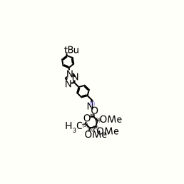 CO[C@@H]1[C@@H](OC)[C@H](C)O[C@@H](O/N=C/c2ccc(-c3ncn(-c4ccc(C(C)(C)C)cc4)n3)cc2)[C@@H]1OC